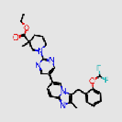 CCOC(=O)C1(C)CCCN(c2ncc(-c3ccc4nc(C)c(Cc5ccccc5OC(F)F)n4c3)cn2)C1